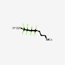 CCCCCCCC(F)(F)C(F)(F)C(F)(F)C(F)(F)CCCNC